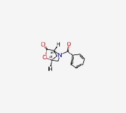 O=C1O[C@@H]2C[C@H]1N(C(=O)c1ccccc1)C2